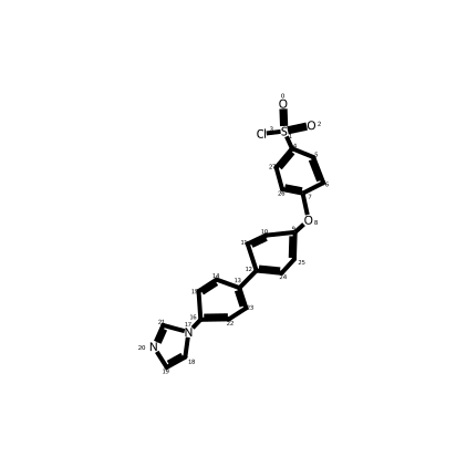 O=S(=O)(Cl)c1ccc(Oc2ccc(-c3ccc(-n4ccnc4)cc3)cc2)cc1